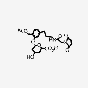 CC(=O)OCc1ccc(CCCNC(=O)CN2C(=O)C=CC2=O)cc1O[C@H]1CC(O)CC(C(=O)O)O1